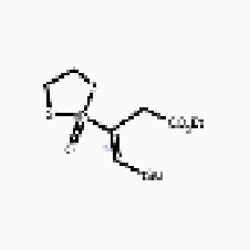 CCOC(=O)C/C(=C\C(C)(C)C)P1(=O)SCCS1